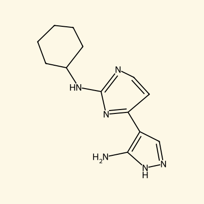 Nc1[nH]ncc1-c1ccnc(NC2CCCCC2)n1